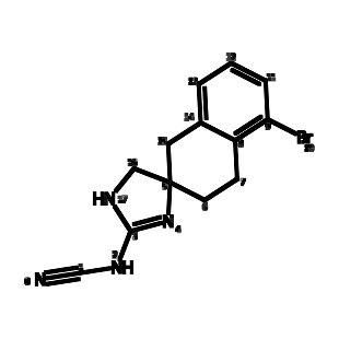 N#CNC1=NC2(CCc3c(Br)cccc3C2)CN1